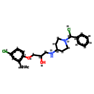 CC(=O)Nc1cc(Cl)ccc1OCC(O)CNC1CCN(C(Cl)c2ccccc2)CC1